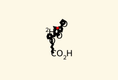 [2H]C(C1CC1)N(Cc1ccccc1OCCCCCC(=O)O)C(=O)c1ccc(-c2ccco2)cc1